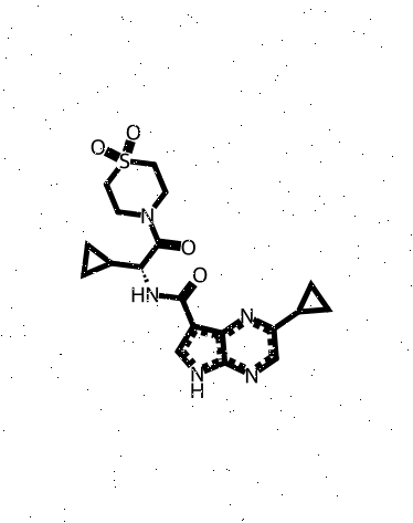 O=C(N[C@@H](C(=O)N1CCS(=O)(=O)CC1)C1CC1)c1c[nH]c2ncc(C3CC3)nc12